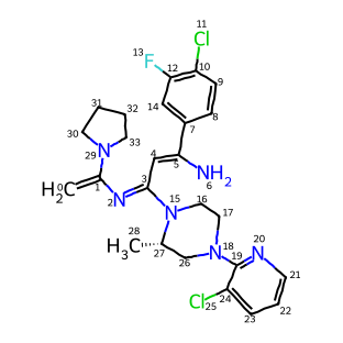 C=C(/N=C(\C=C(/N)c1ccc(Cl)c(F)c1)N1CCN(c2ncccc2Cl)C[C@@H]1C)N1CCCC1